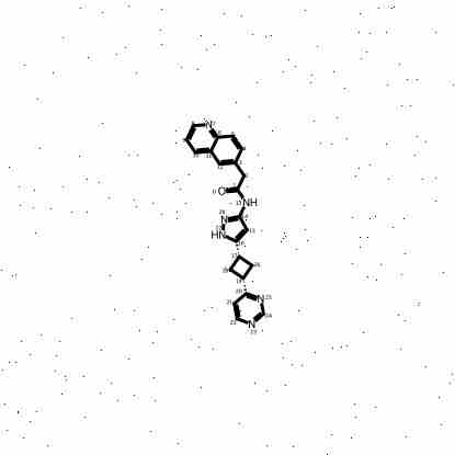 O=C(Cc1ccc2ncccc2c1)Nc1cc([C@H]2C[C@@H](c3ccncn3)C2)[nH]n1